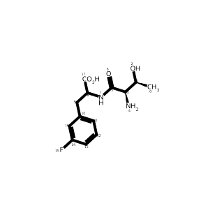 C[C@H](O)[C@@H](N)C(=O)NC(Cc1cccc(F)c1)C(=O)O